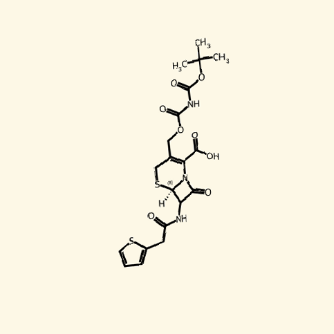 CC(C)(C)OC(=O)NC(=O)OCC1=C(C(=O)O)N2C(=O)C(NC(=O)Cc3cccs3)[C@H]2SC1